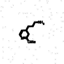 COC1=NC=CC(CCCN)C1